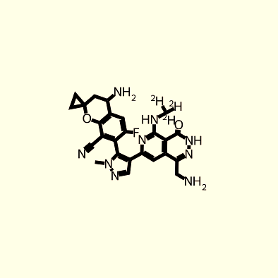 [2H]C([2H])([2H])Nc1nc(-c2cnn(C)c2-c2c(F)cc3c(c2C#N)OC2(CC2)CC3N)cc2c(CN)n[nH]c(=O)c12